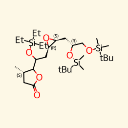 CC[Si](CC)(CC)OC(C[C@H]1O[C@H]1C[C@H](CO[Si](C)(C)C(C)(C)C)O[Si](C)(C)C(C)(C)C)C1OC(=O)C[C@@H]1C